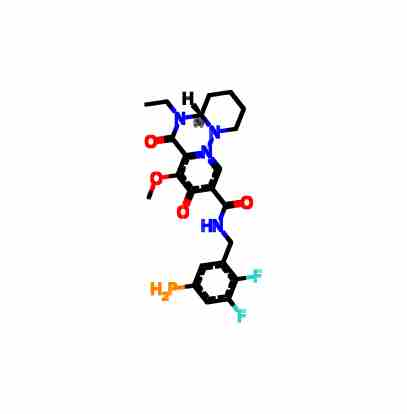 CCN1C(=O)c2c(OC)c(=O)c(C(=O)NCc3cc(P)cc(F)c3F)cn2N2CCCC[C@@H]12